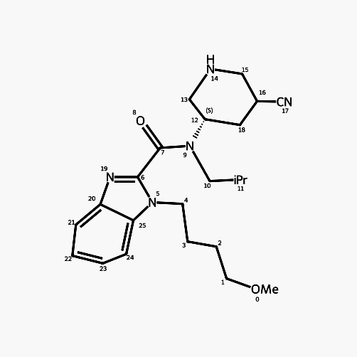 COCCCCn1c(C(=O)N(CC(C)C)[C@@H]2CNCC(C#N)C2)nc2ccccc21